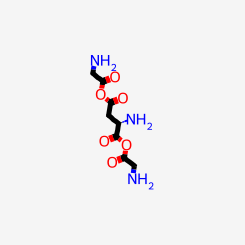 NCC(=O)OC(=O)C[C@H](N)C(=O)OC(=O)CN